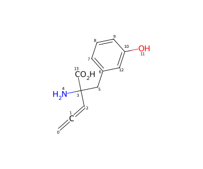 C=C=CC(N)(Cc1cccc(O)c1)C(=O)O